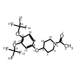 CC(=O)N1CCC(Oc2ccc(OC(F)(F)F)c(OC(F)(F)F)c2)CC1